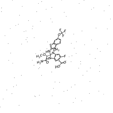 COC(C(N)=O)C1(Nc2nc3ccc(OC(F)(F)F)cc3s2)Nc2cc(C(=O)O)c(F)cc2N1C